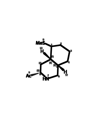 CSC1CCC[C@@H]2CN[C@H](C(C)=O)C[C@H]12